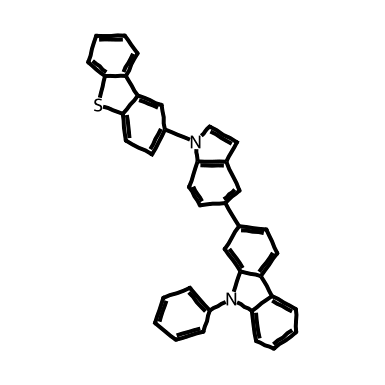 c1ccc(-n2c3ccccc3c3ccc(-c4ccc5c(ccn5-c5ccc6sc7ccccc7c6c5)c4)cc32)cc1